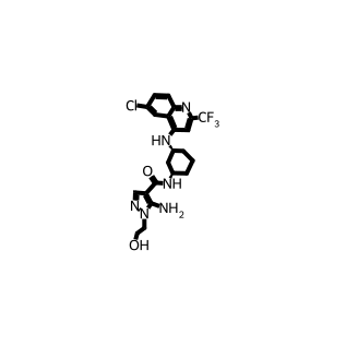 Nc1c(C(=O)N[C@@H]2CCC[C@H](Nc3cc(C(F)(F)F)nc4ccc(Cl)cc34)C2)cnn1CCO